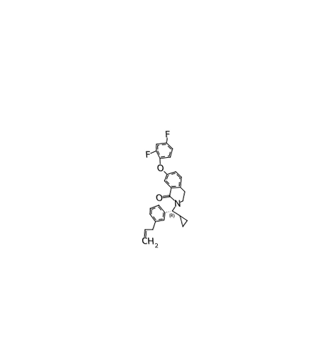 C=CCc1cccc([C@@H](C2CC2)N2CCc3ccc(Oc4ccc(F)cc4F)cc3C2=O)c1